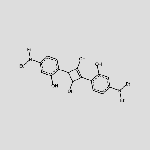 CCN(CC)c1ccc(C2=C(O)C(c3ccc(N(CC)CC)cc3O)C2O)c(O)c1